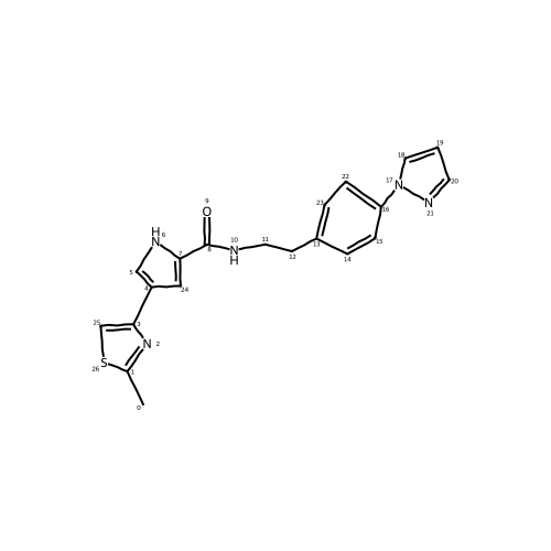 Cc1nc(-c2c[nH]c(C(=O)NCCc3ccc(-n4cccn4)cc3)c2)cs1